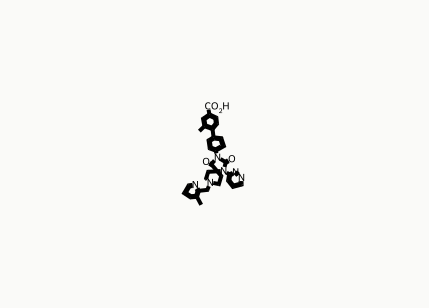 Cc1cc(C(=O)O)ccc1-c1ccc(N2C(=O)N(c3cccnn3)C3(CCN(Cc4ncccc4C)CC3)C2=O)cc1